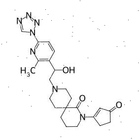 Cc1nc(-n2cnnn2)ccc1C(O)CN1CCC2(CCCN(C3=CC(=O)CC3)C2=O)CC1